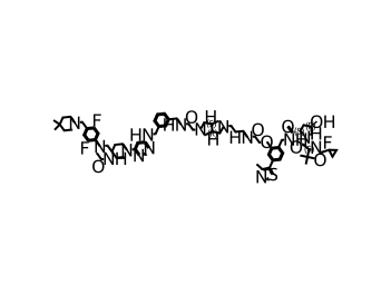 Cc1ncsc1-c1ccc(CNC(=O)[C@@H]2C[C@@H](O)CN2C(=O)[C@@H](NC(=O)C2(F)CC2)C(C)(C)C)c(OCC(=O)NCCCN2C[C@@H]3CN(CC(=O)NCc4cccc(CNc5cc(N6CCC7(CC6)CN(c6cc(F)c(CN8CCC(C)(C)CC8)cc6F)CC(=O)N7)ncn5)c4)C[C@@H]3C2)c1